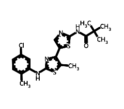 Cc1ccc(Cl)cc1Nc1nc(-c2cnc(NC(=O)C(C)(C)C)s2)c(C)s1